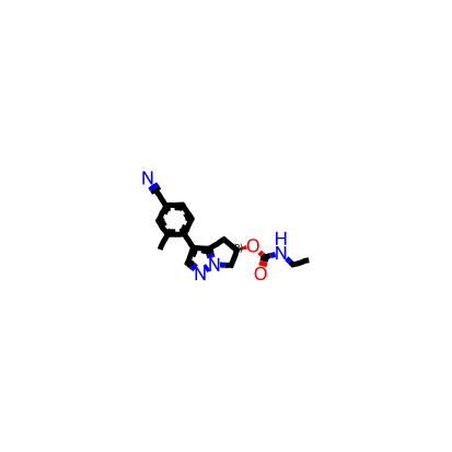 CCNC(=O)O[C@@H]1Cc2c(-c3ccc(C#N)cc3C)cnn2C1